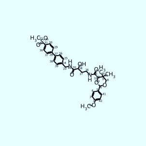 COc1ccc(C2OCC(C)(C)[C@H](C(=O)NCCC(O)C(=O)NCc3ccc(-c4ccc(S(C)(=O)=O)cc4)cc3)O2)cc1